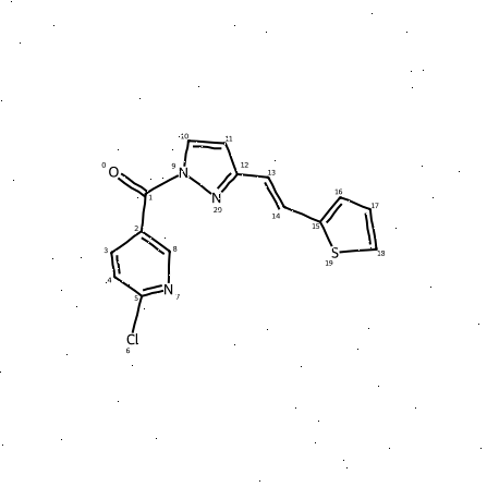 O=C(c1ccc(Cl)nc1)n1ccc(C=Cc2cccs2)n1